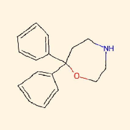 c1ccc(C2(c3ccccc3)CCNCCO2)cc1